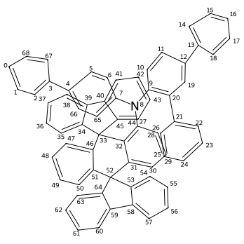 c1ccc(-c2ccc(N(c3ccc(-c4ccccc4)cc3-c3ccccc3)c3cccc4c3C3(c5ccccc5-c5ccccc53)c3ccccc3C43c4ccccc4-c4ccccc43)cc2)cc1